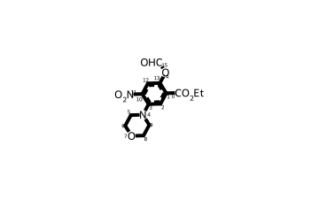 CCOC(=O)c1cc(N2CCOCC2)c([N+](=O)[O-])cc1OC=O